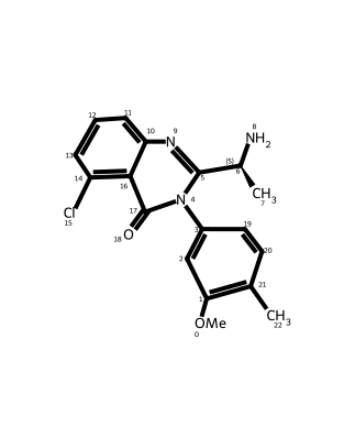 COc1cc(-n2c([C@H](C)N)nc3cccc(Cl)c3c2=O)ccc1C